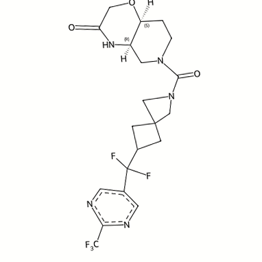 O=C1CO[C@H]2CCN(C(=O)N3CC4(CC(C(F)(F)c5cnc(C(F)(F)F)nc5)C4)C3)C[C@H]2N1